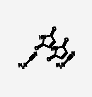 N#CN.N#CN.O=C1C=CC(=O)N1.O=C1C=CC(=O)N1